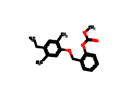 CCc1cc(C)c(OCc2ccccc2OC(=O)OC)cc1C